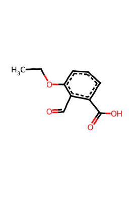 CCOc1cccc(C(=O)O)c1C=O